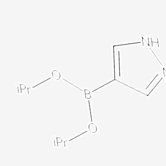 CC(C)OB(OC(C)C)c1cn[nH]c1